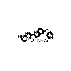 CC(=O)Nc1cc(Oc2ccc3nc(-c4cnc5n(c4=O)CCCN5)ccc3c2)ccn1